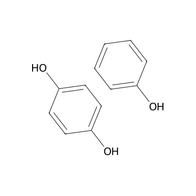 Oc1ccc(O)cc1.Oc1ccccc1